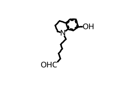 O=CCCCCCN1CCCc2ccc(O)cc21